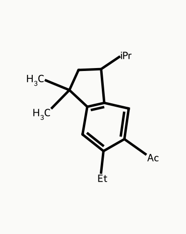 CCc1cc2c(cc1C(C)=O)C(C(C)C)CC2(C)C